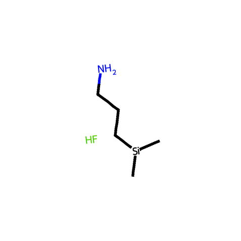 C[Si](C)CCCN.F